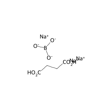 O=C(O)CCC(=O)O.[Na+].[Na+].[Na+].[O-]B([O-])[O-]